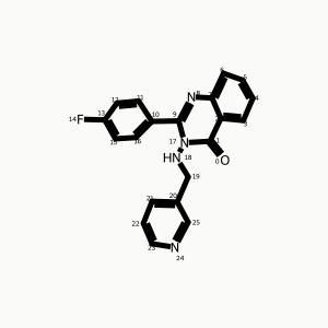 O=c1c2ccccc2nc(-c2ccc(F)cc2)n1NCc1cccnc1